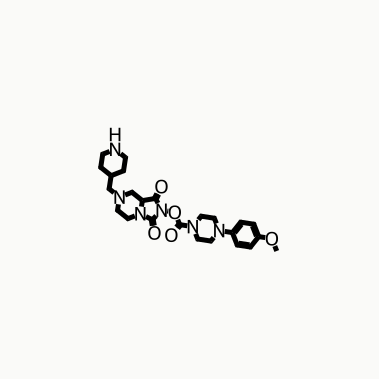 COc1ccc(N2CCN(C(=O)ON3C(=O)C4CN(CC5CCNCC5)CCN4C3=O)CC2)cc1